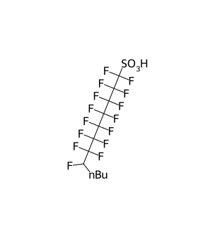 CCCCC(F)C(F)(F)C(F)(F)C(F)(F)C(F)(F)C(F)(F)C(F)(F)C(F)(F)S(=O)(=O)O